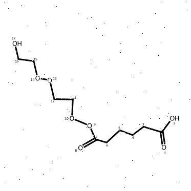 O=C(O)CCCCC(=O)OOCCOOCCO